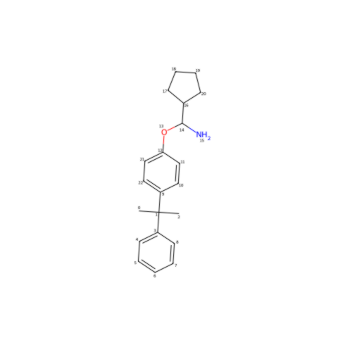 CC(C)(c1ccccc1)c1ccc(OC(N)C2CCCC2)cc1